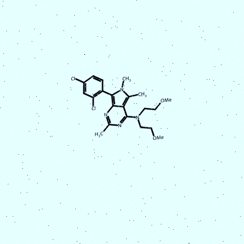 COCCN(CCOC)c1nc(C)nc2c(-c3ccc(Cl)cc3Cl)n(C)c(C)c12